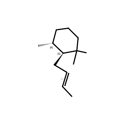 C/C=C/C[C@H]1[C@H](C)CCCC1(C)C